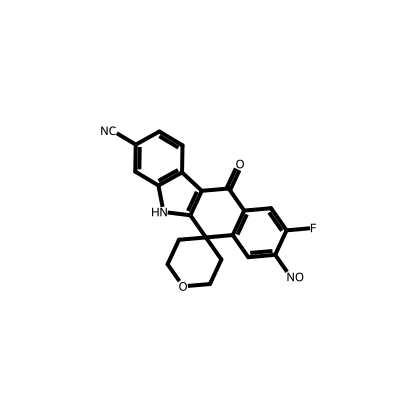 N#Cc1ccc2c3c([nH]c2c1)C1(CCOCC1)c1cc(N=O)c(F)cc1C3=O